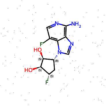 Nc1ncc(F)c2c1ncn2[C@@H]1C[C@H](F)[C@@H](O)[C@H]1O